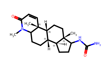 CN1C(=O)C=C[C@@]2(C)C1CC[C@@H]1[C@H]2CC[C@]2(C)C(NC(N)=O)CC[C@@H]12